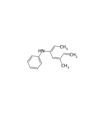 C=C/C(C)=C\C(=C/C)Nc1ccccc1